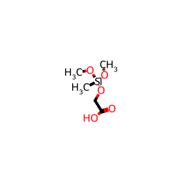 CO[Si](C)(OC)OCC(=O)O